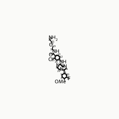 COc1ccc(-c2cnc3c(Nc4ccc(C(=O)NCCOCCN)c(Cl)c4)nccn23)cc1F